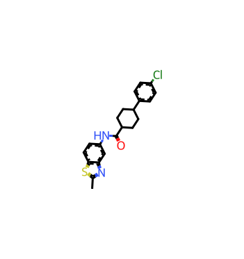 Cc1nc2cc(NC(=O)C3CCC(c4ccc(Cl)cc4)CC3)ccc2s1